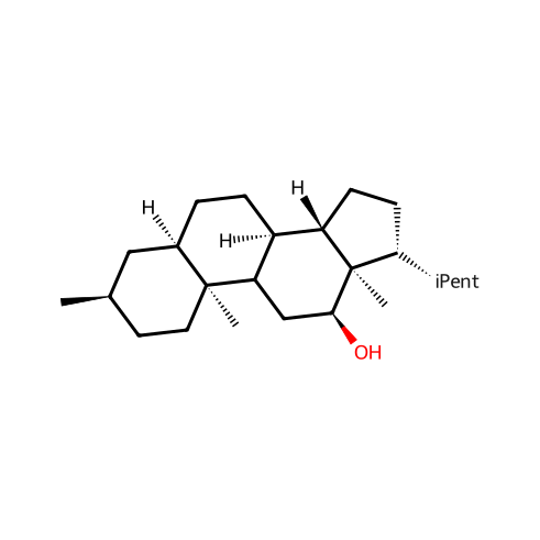 CCC[C@@H](C)[C@H]1CC[C@H]2[C@@H]3CC[C@@H]4C[C@H](C)CC[C@]4(C)C3C[C@H](O)[C@]12C